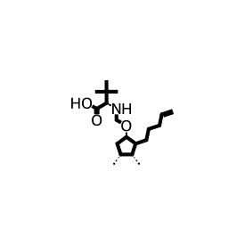 C=CCCCC1[C@@H](OCN[C@H](C(=O)O)C(C)(C)C)C[C@@H](C)[C@H]1C